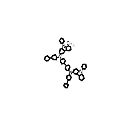 CC1CC=Cc2c1n(-c1ccccc1)c1ccc(N(c3ccc(-c4ccccc4)cc3)c3ccc(-c4ccc(N(c5ccc(-c6ccccc6)cc5)c5ccc6c(c5)c5ccccc5n6-c5ccccc5)cc4)cc3)cc21